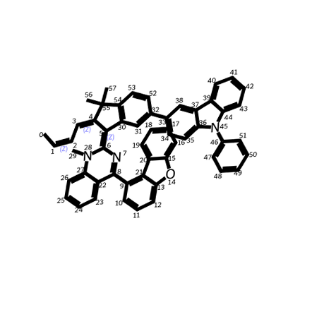 C\C=C/C=C1\C(=C2\N=C(c3cccc4oc5ccccc5c34)c3ccccc3N2C)c2cc(-c3ccc4c(c3)c3ccccc3n4-c3ccccc3)ccc2C1(C)C